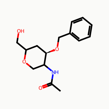 CC(=O)NC1COC(CO)C[C@H]1OCc1ccccc1